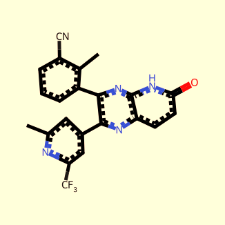 Cc1cc(-c2nc3ccc(=O)[nH]c3nc2-c2cccc(C#N)c2C)cc(C(F)(F)F)n1